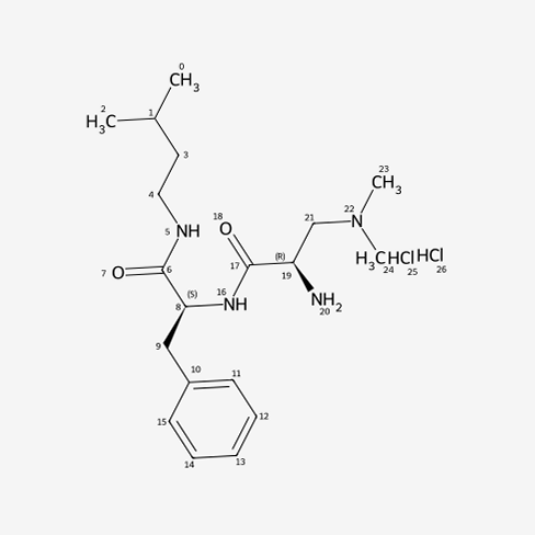 CC(C)CCNC(=O)[C@H](Cc1ccccc1)NC(=O)[C@H](N)CN(C)C.Cl.Cl